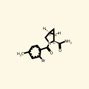 Cc1ccc(C(=O)N2C[C@H]3C[C@H]3[C@H]2C(N)=O)c(Br)c1